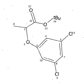 CC(Oc1cc(Cl)cc(Cl)c1)C(=O)OC(C)(C)C